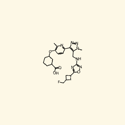 Cc1nc(-c2nnn(C)c2CNc2noc(C3CC(CF)C3)n2)ccc1OC1CCCC(C(=O)O)C1